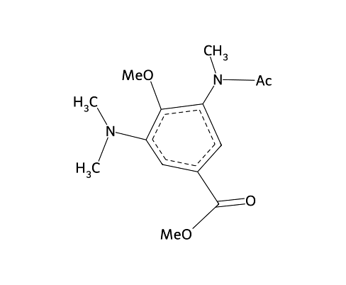 COC(=O)c1cc(N(C)C)c(OC)c(N(C)C(C)=O)c1